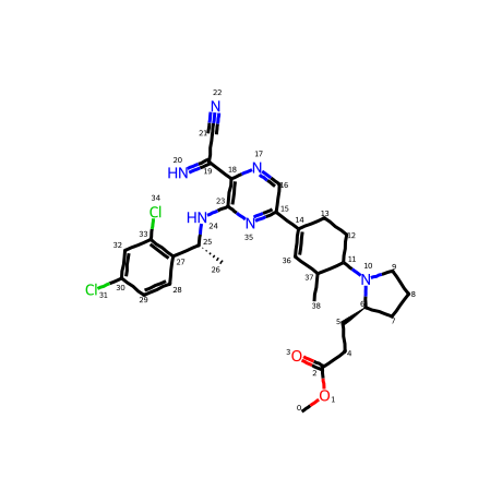 COC(=O)CC[C@@H]1CCCN1C1CCC(c2cnc(C(=N)C#N)c(N[C@H](C)c3ccc(Cl)cc3Cl)n2)=CC1C